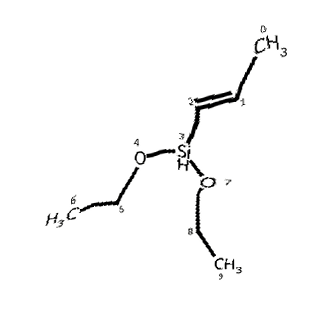 CC=C[SiH](OCC)OCC